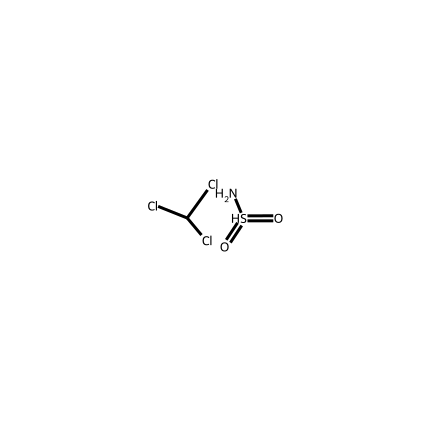 ClC(Cl)Cl.N[SH](=O)=O